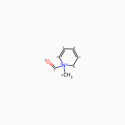 C[N+]1(C=O)C=CC=CC1